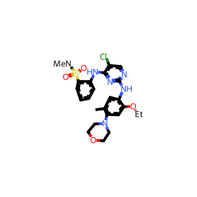 CCOc1cc(N2CCOCC2)c(C)cc1Nc1ncc(Cl)c(Nc2ccccc2S(=O)(=O)NC)n1